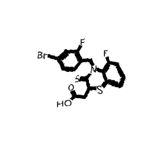 O=C(O)CC1Sc2cccc(F)c2N(Cc2ccc(Br)cc2F)C1=S